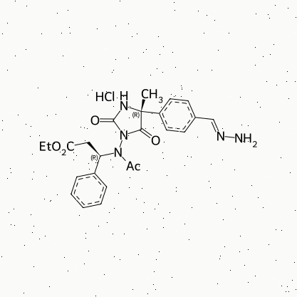 CCOC(=O)C[C@H](c1ccccc1)N(C(C)=O)N1C(=O)N[C@](C)(c2ccc(C=NN)cc2)C1=O.Cl